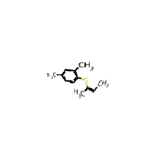 C/C=C(/C)Sc1ccc(C(F)(F)F)cc1C